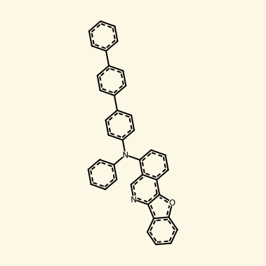 c1ccc(-c2ccc(-c3ccc(N(c4ccccc4)c4cccc5c4cnc4c6ccccc6oc54)cc3)cc2)cc1